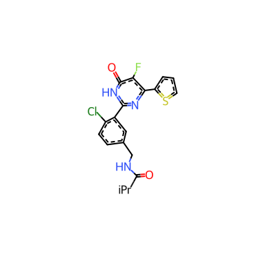 CC(C)C(=O)NCc1ccc(Cl)c(-c2nc(-c3cccs3)c(F)c(=O)[nH]2)c1